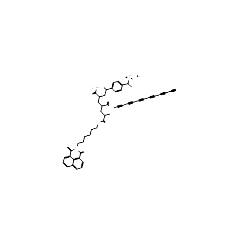 C#CC#CC#CC#CC#CC#COC(=O)C(CC(C)C(=O)OCCCCCCn1c(=C)c2cccc3cccc(c1=O)c32)CC(CC(CC)c1ccc(C(C)S(=O)(=S)OO)cc1)C(=O)OC